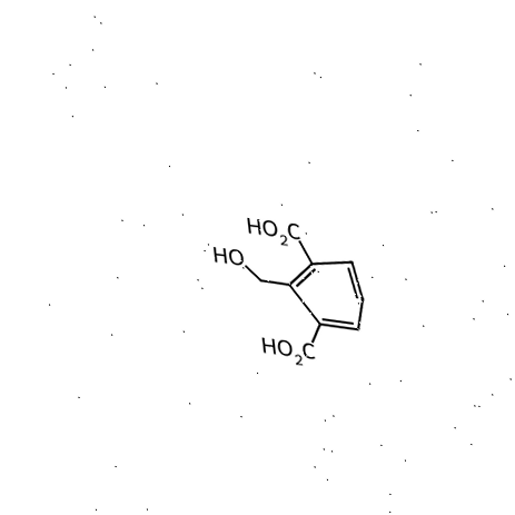 O=C(O)c1cccc(C(=O)O)c1CO